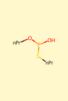 CCCOP(O)SCCC